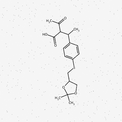 CC(=O)C(C(=O)O)C(C)c1ccc(SCC2COC(C)(C)O2)cc1